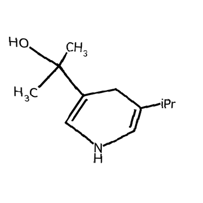 CC(C)C1=CNC=C(C(C)(C)O)C1